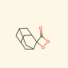 O=C1OOC12C1CC3CC(C1)CC2C3